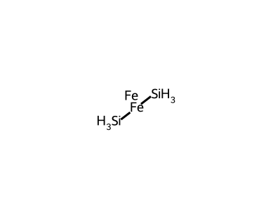 [Fe].[SiH3][Fe][SiH3]